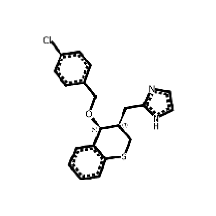 Clc1ccc(CO[C@@H]2c3ccccc3SC[C@@H]2Cc2ncc[nH]2)cc1